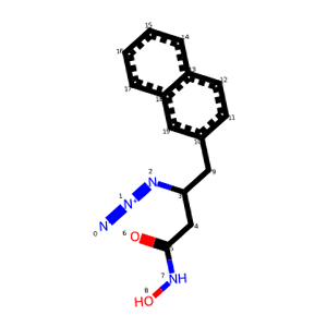 [N-]=[N+]=NC(CC(=O)NO)Cc1ccc2ccccc2c1